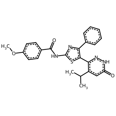 COc1ccc(C(=O)Nc2nc(-c3ccccc3)c(-c3n[nH]c(=O)cc3C(C)C)s2)cc1